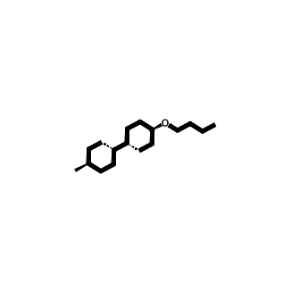 CCCCO[C@H]1CC[C@H]([C@H]2CC[C@H](C)CC2)CC1